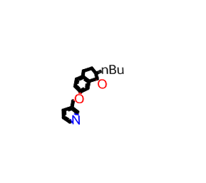 CCCCC1CCc2ccc(OCc3cccnc3)cc2C1=O